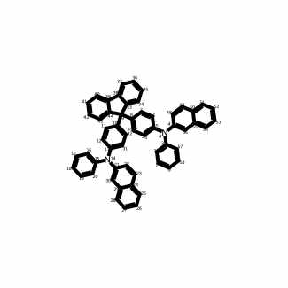 c1ccc(N(c2ccc(C3(c4ccc(N(c5ccccc5)c5ccc6ccccc6c5)cc4)c4ccccc4-c4ccccc43)cc2)c2ccc3ccccc3c2)cc1